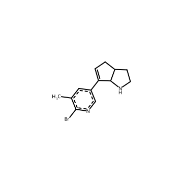 Cc1cc(C2=CCC3CCNC23)cnc1Br